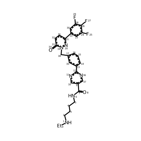 CCNCCCCNC(=O)c1cnc(-c2cccc(Cn3nc(-c4cc(F)c(F)c(F)c4)ccc3=O)c2)nc1